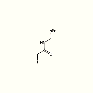 CCCCNC(=O)CI